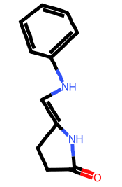 O=C1CC/C(=C/Nc2ccccc2)N1